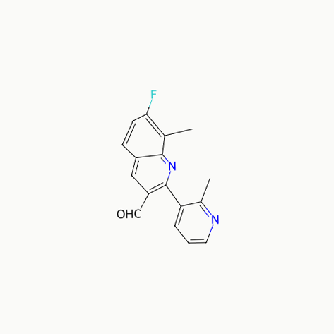 Cc1ncccc1-c1nc2c(C)c(F)ccc2cc1C=O